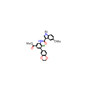 COC(=O)c1cc(NC(=O)c2cn(C(C)=O)c3ccc(OC)cc23)c(F)c(-c2ccc3c(c2)OCCO3)c1